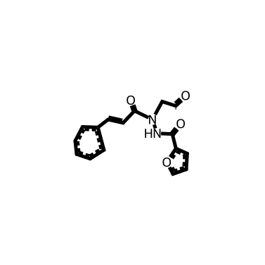 O=[C]CN(NC(=O)c1ccco1)C(=O)/C=C/c1ccccc1